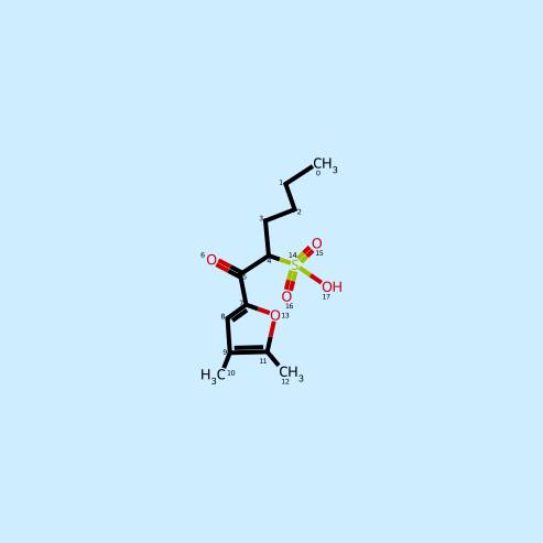 CCCCC(C(=O)c1cc(C)c(C)o1)S(=O)(=O)O